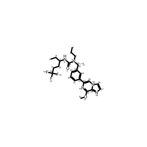 CCCN(C(=O)NC(CC)CCC(F)(F)F)[C@H](C)c1cccc(-c2cn3ccnc3c(OC)n2)c1